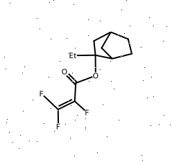 CCC1(OC(=O)C(F)=C(F)F)CC2CCC1C2